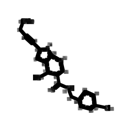 COCC#Cc1cc2c(S)c(C(=S)NCc3ccc(Cl)cc3)cnc2s1